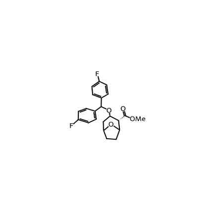 COC(=O)[C@@H]1C2CCC(C[C@H]1OC(c1ccc(F)cc1)c1ccc(F)cc1)O2